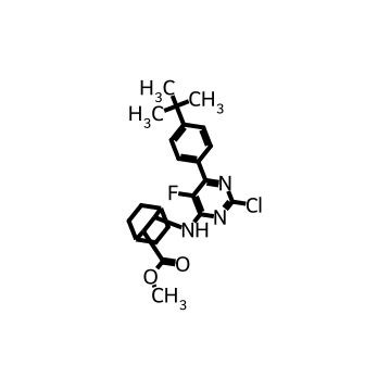 COC(=O)C1C2CCC(CC2)C1Nc1nc(Cl)nc(-c2ccc(C(C)(C)C)cc2)c1F